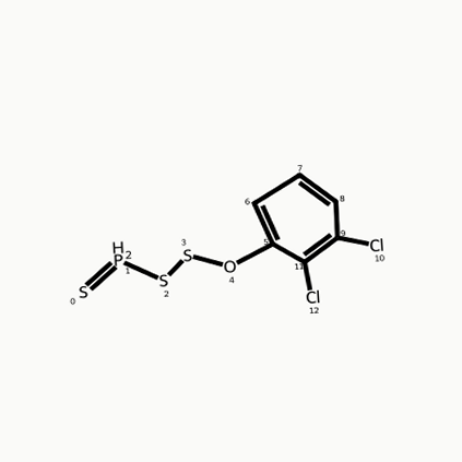 S=[PH2]SSOc1cccc(Cl)c1Cl